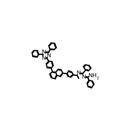 CC(/N=C(\N=C(/N)c1ccccc1)c1ccccc1)c1ccc(-c2ccc3c(-c4ccc(-c5nc(-c6ccccc6)nc(-c6ccccc6)n5)cc4)cccc3c2)cc1